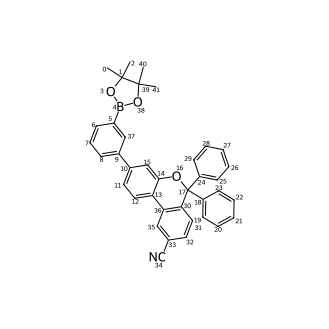 CC1(C)OB(c2cccc(-c3ccc4c(c3)OC(c3ccccc3)(c3ccccc3)c3ccc(C#N)cc3-4)c2)OC1(C)C